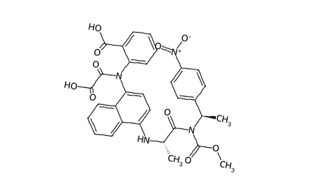 COC(=O)N(C(=O)[C@H](C)Nc1ccc(N(C(=O)C(=O)O)c2ccccc2C(=O)O)c2ccccc12)[C@H](C)c1ccc([N+](=O)[O-])cc1